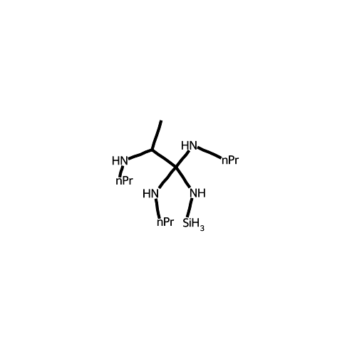 CCCNC(C)C(N[SiH3])(NCCC)NCCC